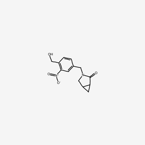 O=C1C2CC2CN1Cc1ccc(CO)c([N+](=O)[O-])c1